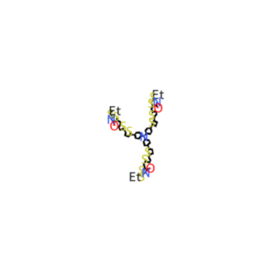 CCSC1=NC(=O)/C(=C\c2ccc(-c3ccc(-c4ccc(N(c5ccc(-c6ccc(-c7ccc(/C=C8/SC(SCC)=NC8=O)s7)s6)cc5)c5ccc(-c6ccc(-c7ccc(/C=C8/SC(SCC)=NC8=O)s7)s6)cc5)cc4)s3)s2)S1